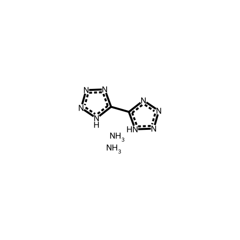 N.N.n1n[nH]c(-c2nnn[nH]2)n1